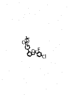 CC(C)(C)OC(=O)N1CCC(c2cccc3c2OC(C)(c2ccc(Cl)cc2F)C3)CC1